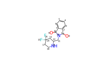 O=C1c2ccccc2C(=O)N1CC1CC(F)(F)CCN1